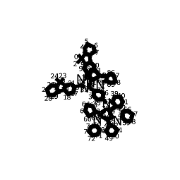 CC1(C)c2ccccc2-c2ccc(-c3nc(-c4ccc5c(c4)C(C)(C)c4ccccc4-5)nc(-c4ccc(-n5c6ccccc6c6c7c(c8ccccc8n7-c7ccccc7)c7c(c8ccccc8n7-c7ccccc7)c65)cc4-n4c5ccccc5c5ccccc54)n3)cc21